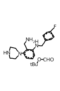 CC(C)(C)OC=O.NCc1c(NCc2ccc(F)cc2)cccc1N1CCNCC1